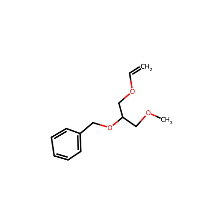 C=COCC(COC)OCc1ccccc1